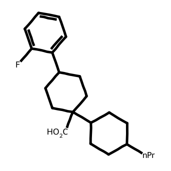 CCCC1CCC(C2(C(=O)O)CCC(c3ccccc3F)CC2)CC1